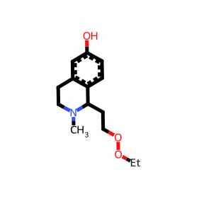 CCOOCCC1c2ccc(O)cc2CCN1C